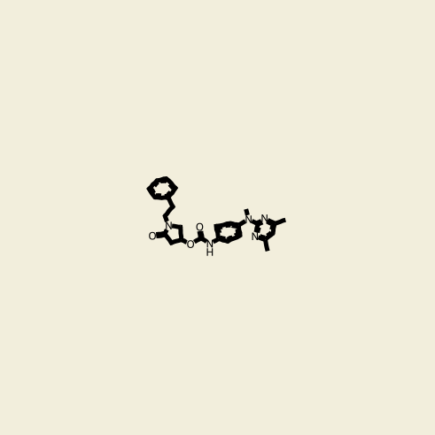 Cc1cc(C)nc(N(C)c2ccc(NC(=O)OC3CC(=O)N(CCc4ccccc4)C3)cc2)n1